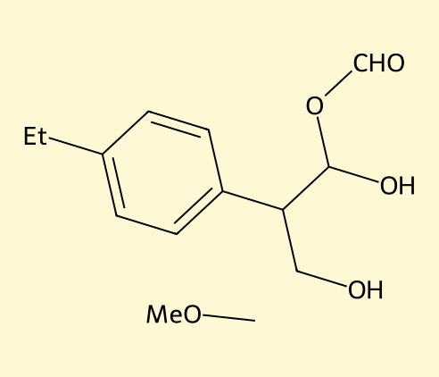 CCc1ccc(C(CO)C(O)OC=O)cc1.COC